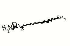 CCC=CCC=CCC=CCC=CCC=CCCCC(=O)NCC(=O)CN